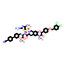 COC(=O)[C@H](Cc1ccc(-c2ccc(C#N)cc2)cc1)NC(=O)C1Cc2cc3c(cc2CN1S(=O)(=O)c1sc(N)nc1C)OC(c1ccc(OCc2ccc(Cl)c(Cl)c2)cc1)C(=O)N3C